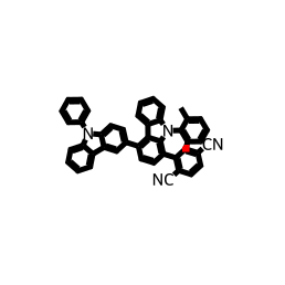 Cc1cccc(C)c1-n1c2ccccc2c2c(-c3ccc4c(c3)c3ccccc3n4-c3ccccc3)ccc(-c3cc(C#N)ccc3C#N)c21